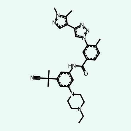 CCN1CCN(c2cc(NC(=O)c3ccc(C)c(-n4cc(-c5cnn(C)c5C)nn4)c3)cc(C(C)(C)C#N)c2)CC1